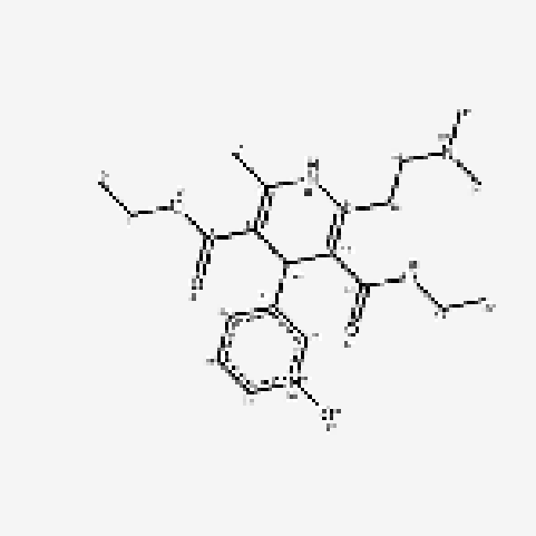 CCOC(=O)C1=C(C)NC(CCN(C)C)=C(C(=O)OCC)C1c1ccc[n+]([O-])c1